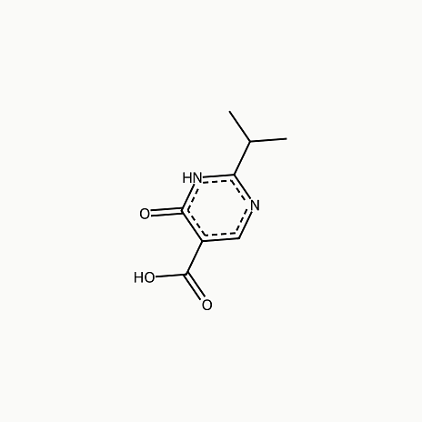 CC(C)c1ncc(C(=O)O)c(=O)[nH]1